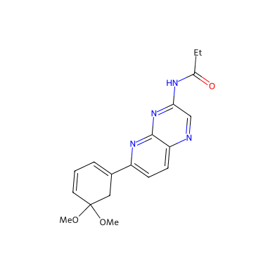 CCC(=O)Nc1cnc2ccc(C3=CC=CC(OC)(OC)C3)nc2n1